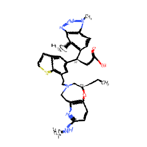 CC[C@@H]1CN(Cc2cc([C@H](CC(=O)O)c3ccc4c(nnn4C)c3C)cc3ccsc23)Cc2nc(NC)ccc2O1